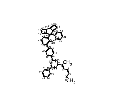 C=C/C=C\C=C(/C)c1nc(-c2ccccc2)nc(-c2ccc(-c3cccc4c3Sc3ccccc3C43c4ccccc4-c4ccccc43)cc2)n1